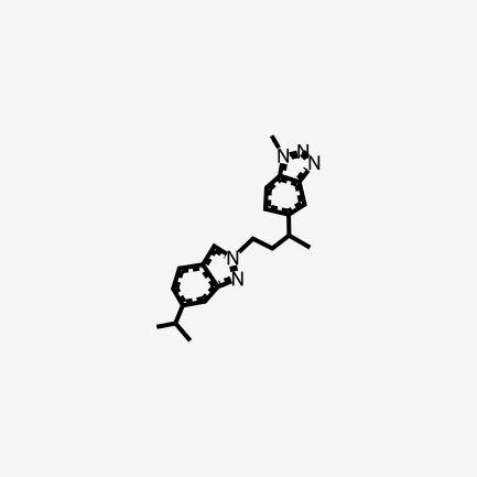 CC(C)c1ccc2cn(CCC(C)c3ccc4c(c3)nnn4C)nc2c1